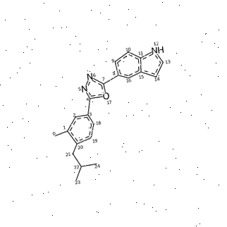 Cc1cc(-c2nnc(-c3ccc4[nH]ccc4c3)o2)ccc1CC(C)C